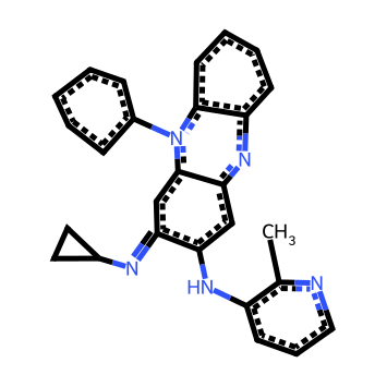 Cc1ncccc1Nc1cc2nc3ccccc3n(-c3ccccc3)c-2c/c1=N\C1CC1